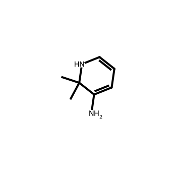 CC1(C)NC=CC=C1N